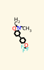 C=C1Oc2ccc(-c3ccc(OC(F)(F)F)cc3)cc2N1CC